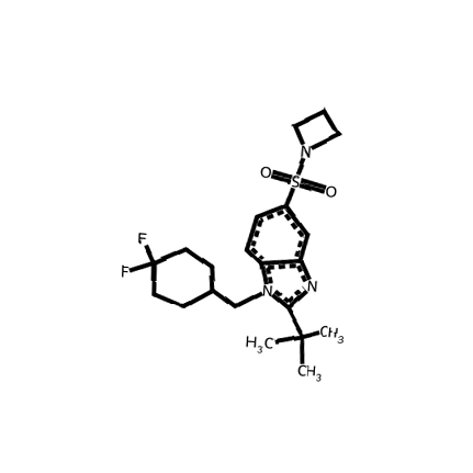 CC(C)(C)c1nc2cc(S(=O)(=O)N3C[CH]C3)ccc2n1CC1CCC(F)(F)CC1